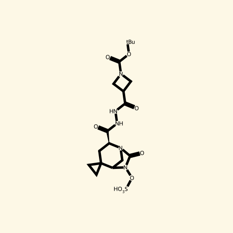 CC(C)(C)OC(=O)N1CC(C(=O)NNC(=O)[C@@H]2CC3(CC3)C3CN2C(=O)N3OS(=O)(=O)O)C1